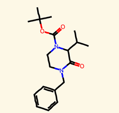 CC(C)C1C(=O)N(Cc2ccccc2)CCN1C(=O)OC(C)(C)C